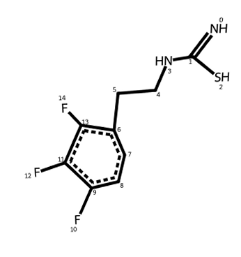 N=C(S)NCCc1ccc(F)c(F)c1F